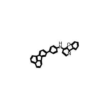 c1cc2c3c(cccc3c1)-c1cc(-c3ccc(Nc4ccnc5c4oc4ccccc45)cc3)ccc1-2